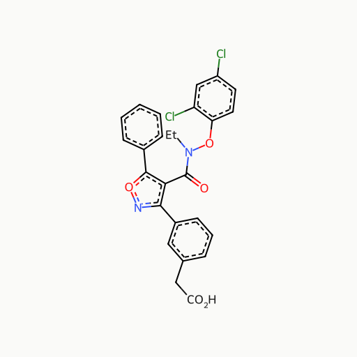 CCN(Oc1ccc(Cl)cc1Cl)C(=O)c1c(-c2cccc(CC(=O)O)c2)noc1-c1ccccc1